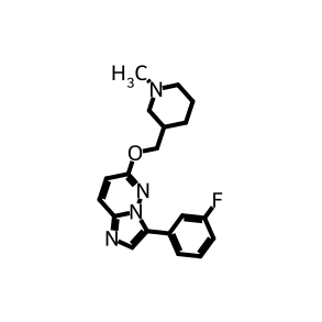 CN1CCCC(COc2ccc3ncc(-c4cccc(F)c4)n3n2)C1